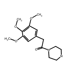 COc1cc(CC(=O)N2CC[N]CC2)cc(OC)c1OC